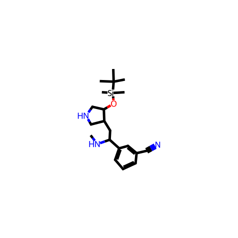 CNC(CC1CNCC1O[Si](C)(C)C(C)(C)C)c1cccc(C#N)c1